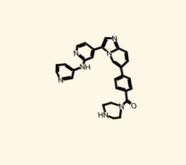 O=C(c1ccc(-c2ccc3ncc(-c4ccnc(Nc5cccnc5)c4)n3c2)cc1)N1CCNCC1